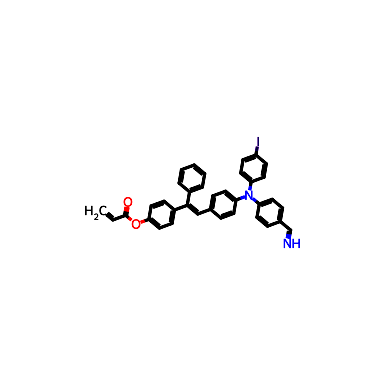 C=CC(=O)Oc1ccc(C(=Cc2ccc(N(c3ccc(I)cc3)c3ccc(C=N)cc3)cc2)c2ccccc2)cc1